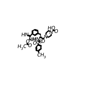 CC(=O)ONC(=N)c1cccc(C[C@H](NS(=O)(=O)c2ccc(C)cc2)C(=O)N2CCN(C(=O)O)CC2)c1